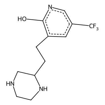 Oc1ncc(C(F)(F)F)cc1CCC1CNCCN1